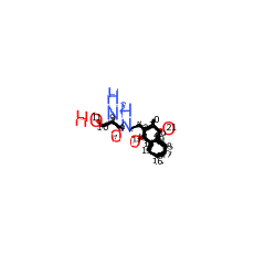 CC1=C(CCNC(=O)C(N)CO)C(=O)c2ccccc2C1=O